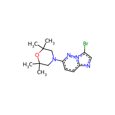 CC1(C)CN(c2ccc3ncc(Br)n3n2)CC(C)(C)O1